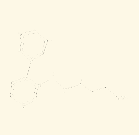 CNCCCCOc1ccccc1-c1ccccc1